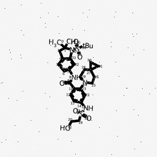 CC1(C)Cc2ccc(NC(=O)c3ccc(NS(=O)(=O)CCO)cc3N3CCC4(CC3)CC4)cc2N1S(=O)(=O)C(C)(C)C